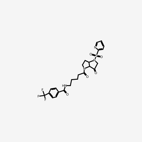 O=C(NCCCCC(=O)N1CCC2C1C(=O)CN2S(=O)(=O)c1ccccn1)c1ccc(C(F)(F)F)cc1